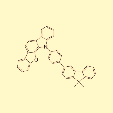 CC1(C)c2ccccc2-c2cc(-c3ccc(-n4c5ccccc5c5ccc6c7ccccc7oc6c54)cc3)ccc21